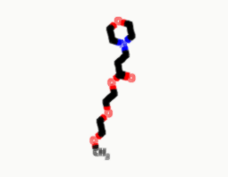 COCCOCCOC(=O)CCN1CCOCC1